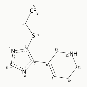 FC(F)(F)CSc1nsnc1C1=CCCNC1